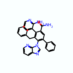 NC(=O)c1cc(-c2ccccc2)c(-n2cnc3cccnc32)c(Cc2ccccc2)c1-c1cccnc1N